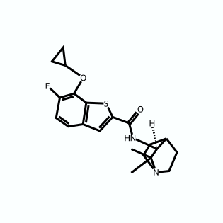 CC1(C)[C@@H](NC(=O)c2cc3ccc(F)c(OC4CC4)c3s2)C2CCN1CC2